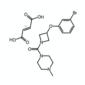 CN1CCN(C(=O)N2CC(Oc3cccc(Br)c3)C2)CC1.O=C(O)/C=C/C(=O)O